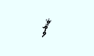 CCCc1ccc(C#Cc2ccc(N=Nc3cc(F)c(F)c(F)c3)cc2CC)cc1